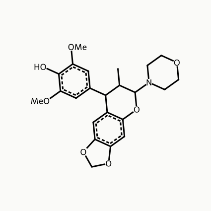 COc1cc(C2c3cc4c(cc3OC(N3CCOCC3)C2C)OCO4)cc(OC)c1O